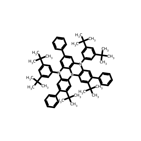 CC(C)(C)c1cc(N2c3cc(-c4ccccc4)c(C(C)(C)C)cc3B3c4cc(C(C)(C)C)c(-c5ccccc5)cc4N(c4cc(C(C)(C)C)cc(C(C)(C)C)c4)c4cc(-c5ccccc5)cc2c43)cc(C(C)(C)C)c1